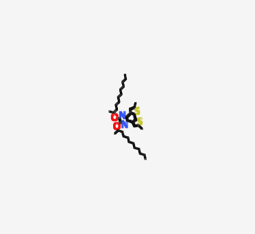 CCCCCCCCCCC(C)Oc1nc2c3cc(C)sc3c3sc(C)cc3c2nc1OC(C)CCCCCCCCCC